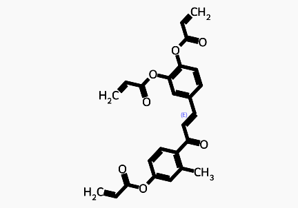 C=CC(=O)Oc1ccc(C(=O)/C=C/c2ccc(OC(=O)C=C)c(OC(=O)C=C)c2)c(C)c1